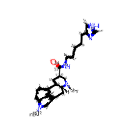 CCCCn1cc2c3c(cccc31)C1C[C@@H](C(=O)NCCCCCc3c[nH]cn3)CN(CCC)[C@@H]1C2